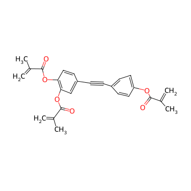 C=C(C)C(=O)Oc1ccc(C#Cc2ccc(OC(=O)C(=C)C)c(OC(=O)C(=C)C)c2)cc1